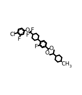 CC1CCC(C2COC(c3ccc(C4CCC(C(F)(F)Oc5ccc(Cl)c(F)c5)CC4)c(F)c3)OC2)CC1